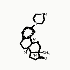 C[C@]12CC[C@@H]3c4cc(N5CCNCC5)ccc4CC[C@H]3[C@@H]1CCC2=O